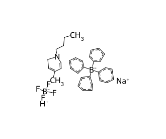 CCCCN1C=CC(C)=CC1.F[B-](F)(F)F.[H+].[Na+].c1ccc([B-](c2ccccc2)(c2ccccc2)c2ccccc2)cc1